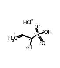 C=CC(Cl)S(=O)(=O)O.Cl